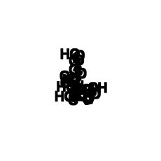 O=[N+]([O-])c1cc(S(=O)(=O)CCOS(=O)(=O)O)cc(N=Nc2c(S(=O)(=O)O)cc3cccc(S(=O)(=O)O)c3c2O)c1O